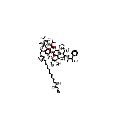 CC[C@H](C)[C@@H]([C@@H](CC(=O)N1CCC[C@H]1[C@H](OC)[C@@H](C)C(=O)N[C@H](C)[C@@H](O)c1ccccc1)OC)N(C)C(=O)[C@@H](NC(=O)[C@H](C(C)C)N(C)C(=O)OC(Cc1cn(CCCCCCCCCCNC(=O)CBr)nn1)c1ccc(OC2O[C@H](CO)[C@H](O)[C@H](O)[C@H]2O)c([N+](=O)[O-])c1)C(C)C